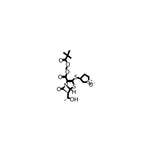 C[C@@H](O)[C@H]1C(=O)N2C(C(=O)OCOC(=O)C(C)(C)C)=C(SC3CC[S+]([O-])C3)S[C@H]12